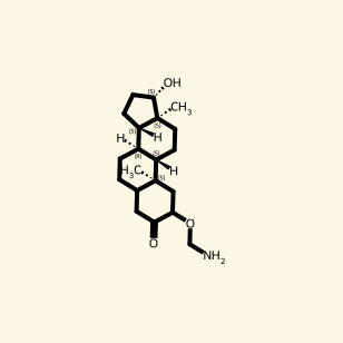 C[C@]12CC[C@H]3[C@@H](CCC4CC(=O)C(OCN)C[C@@]43C)[C@@H]1CC[C@@H]2O